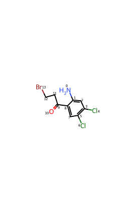 Nc1cc(Cl)c(Cl)cc1C(=O)CCBr